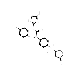 O=C1CCC(S(=O)(=O)c2ccc(C(Oc3ccc(Cl)cc3)C(=O)Nc3ncc(F)s3)cc2)C1